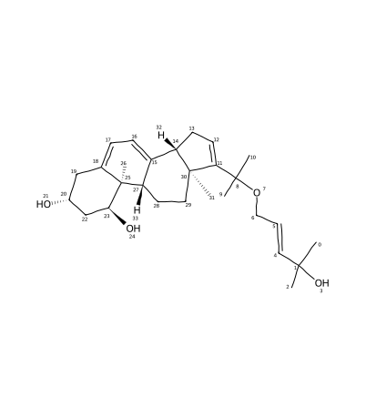 CC(C)(O)/C=C/COC(C)(C)C1=CC[C@H]2C3=CC=C4C[C@@H](O)C[C@H](O)[C@]4(C)[C@H]3CC[C@]12C